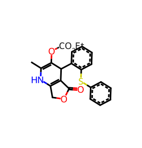 CCOC(=O)OC1=C(C)NC2=C(C(=O)OC2)C1c1ccccc1Sc1ccccc1